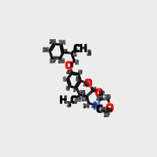 CC(COc1ccc2c(c1)OC(=O)C(CN1CCOCC1)C2C)c1ccccc1